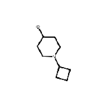 [O]C1CCN(C2CCC2)CC1